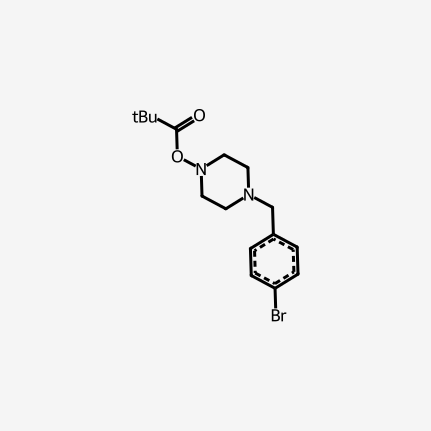 CC(C)(C)C(=O)ON1CCN(Cc2ccc(Br)cc2)CC1